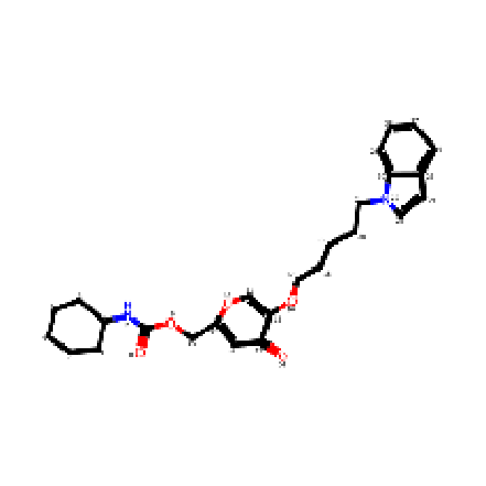 O=C(NC1CCCCC1)OCc1cc(=O)c(OCCCCCn2ccc3ccccc32)co1